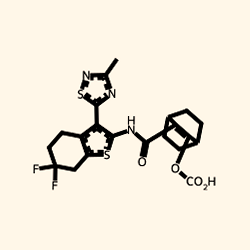 Cc1nsc(-c2c(NC(=O)C3=C(OC(=O)O)C4CCC3CC4)sc3c2CCC(F)(F)C3)n1